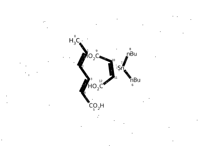 C/C=C/C=C/C(=O)O.CCC[CH2][Sn][CH2]CCC.O=C(O)/C=C\C(=O)O